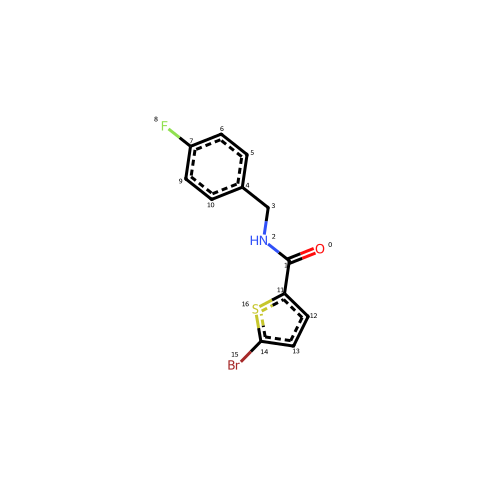 O=C(NCc1ccc(F)cc1)c1ccc(Br)s1